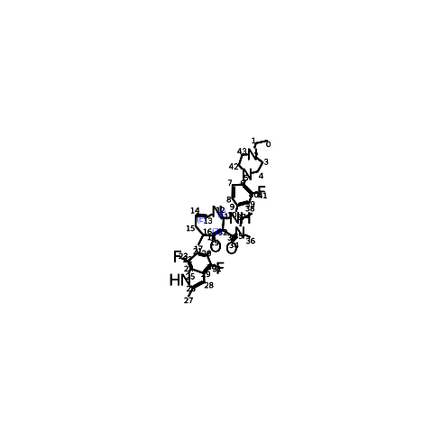 CCN1CCN(c2ccc(NC3=N/C=C/CC(C)/C(Oc4cc(F)c5[nH]c(C)cc5c4F)=C\3C(=O)N(C)CC)cc2F)CC1